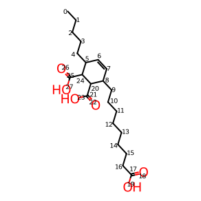 CCCCCC1C=CC(CCCCCCCCC(=O)O)C(C(=O)O)C1C(=O)O